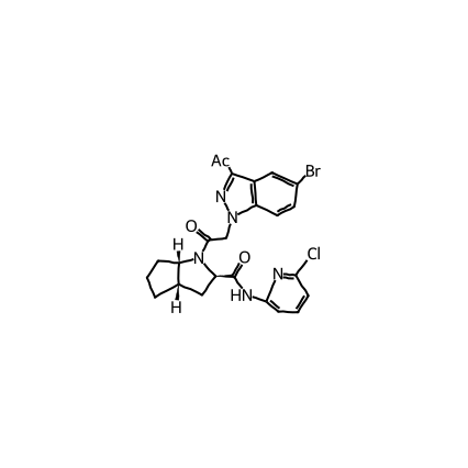 CC(=O)c1nn(CC(=O)N2[C@@H](C(=O)Nc3cccc(Cl)n3)C[C@@H]3CCC[C@@H]32)c2ccc(Br)cc12